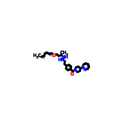 C\C=C/C=C\C=C\OCCC(C)NNCCC1C=CC(C(=O)N2CCC(N3CC=C=CC=N3)CC2)=CC1